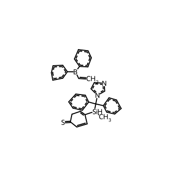 C=CB(c1ccccc1)c1ccccc1.C[SiH](C1=CCC(=S)C=C1)C(c1ccccc1)(c1ccccc1)n1ccnc1